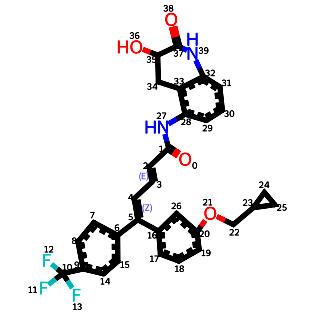 O=C(/C=C/C=C(/c1ccc(C(F)(F)F)cc1)c1cccc(OCC2CC2)c1)Nc1cccc2c1CC(O)C(=O)N2